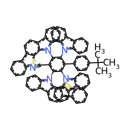 CC(C)(C)c1ccc(-c2c(-n3c4ccccc4c4ccccc43)c(-n3c4ccccc4c4ccc5c6ccccc6sc5c43)c(C#N)c(-n3c4ccccc4c4ccc5c6ccccc6sc5c43)c2-n2c3ccccc3c3ccccc32)cc1